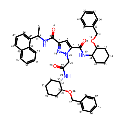 C[C@@H](NC(=O)c1cc(C(=O)NC2CCCCC2OCc2ccccc2)n(CC(=O)N[C@H]2CCCC[C@@H]2OCc2ccccc2)n1)c1cccc2ccccc12